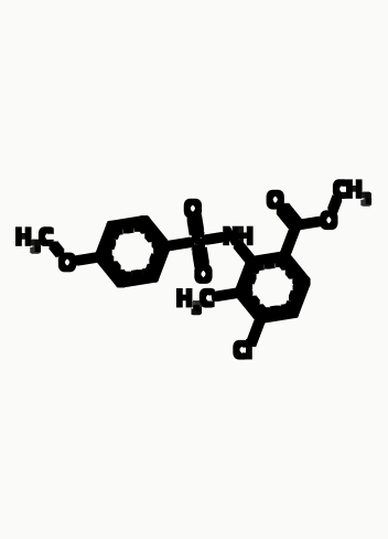 COC(=O)c1ccc(Cl)c(C)c1NS(=O)(=O)c1ccc(OC)cc1